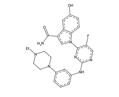 CCN1CCN(c2cccc(Nc3ncc(F)c(-n4cc(C(N)=O)c5cc(O)ccc54)n3)c2)CC1